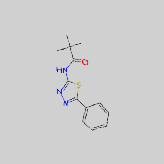 CC(C)(C)C(=O)Nc1nnc(-c2ccccc2)s1